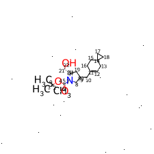 CC(C)(C)OC(=O)N1C[C@H](CC2=CCC3(CC2)CC3)C[C@H]1CO